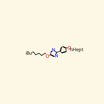 CCCCCCCOc1ccc(-c2ncc(OCCCCCC(C)CC)cn2)cc1